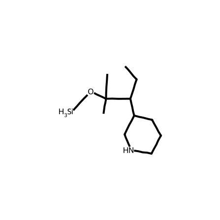 CCC(C1CCCNC1)C(C)(C)O[SiH3]